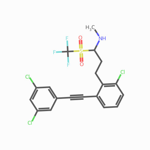 CNC(CCc1c(Cl)cccc1C#Cc1cc(Cl)cc(Cl)c1)S(=O)(=O)C(F)(F)F